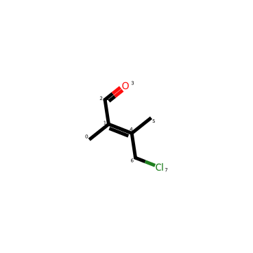 CC([C]=O)=C(C)CCl